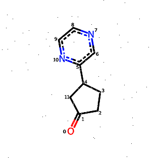 O=C1CCC(c2cnccn2)C1